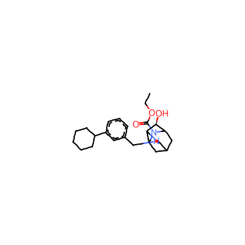 CCOC(=O)N1C2CC3CC1[C@H](O)C2N(Cc1cccc(C2CCCCC2)c1)C3